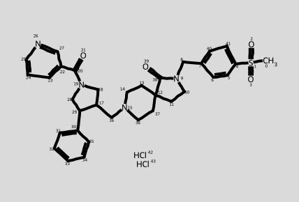 CS(=O)(=O)c1ccc(CN2CCC3(CCN(CC4CN(C(=O)c5cccnc5)CC4c4ccccc4)CC3)C2=O)cc1.Cl.Cl